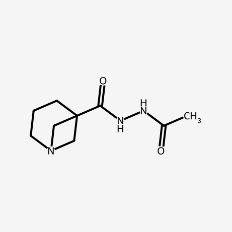 CC(=O)NNC(=O)C12CCCN(C1)C2